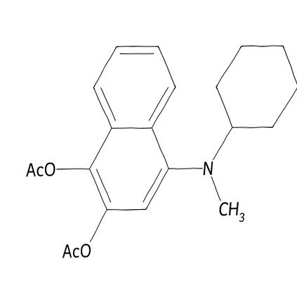 CC(=O)Oc1cc(N(C)C2CCCCC2)c2ccccc2c1OC(C)=O